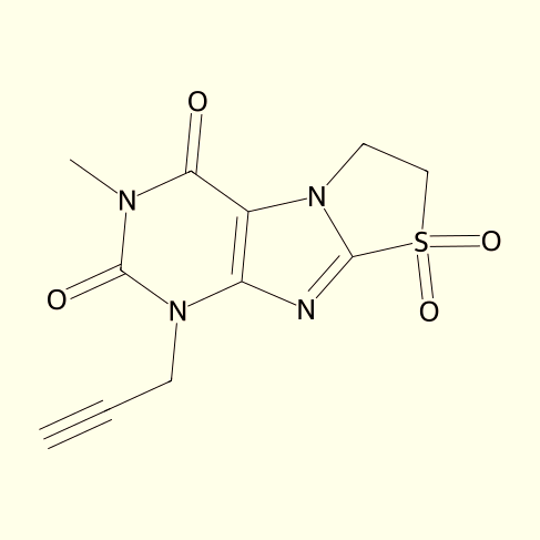 C#CCn1c(=O)n(C)c(=O)c2c1nc1n2CCS1(=O)=O